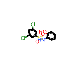 O=S(=O)(Nc1ccccc1O)c1cc(Cl)cc(Cl)c1